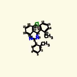 Cc1ccccc1-c1nc(-c2ccccc2C)c2c(Cl)cccc2n1